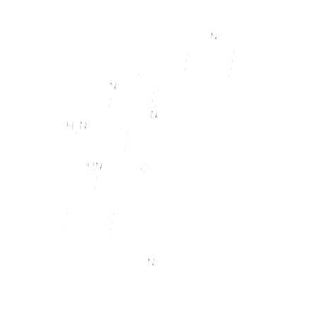 N#Cc1cccc(NC(=O)c2nc(-c3cccnc3)cnc2N)c1